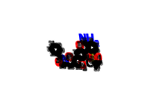 CC1(S(=O)(=O)c2cccc(C(N)=O)c2-c2ccc3c(c2)OCC(Cc2coc(-c4ccccc4)n2)C3=O)CC1